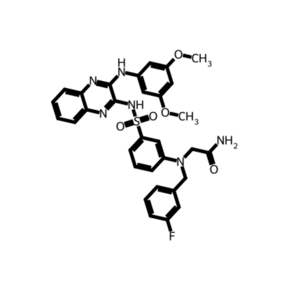 COc1cc(Nc2nc3ccccc3nc2NS(=O)(=O)c2cccc(N(CC(N)=O)Cc3cccc(F)c3)c2)cc(OC)c1